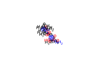 CN[C@H](C(=O)N[C@H](C(=O)N(C)[C@H](C=C(C)C(=O)NS(=O)(=O)c1ccc(CNC(=O)[C@H](CCCNC(N)=O)NC(=O)[C@@H](NC(=O)O)C(C)C)cc1)C(C)C)C(C)(C)C)C(C)(C)c1ccccc1